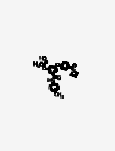 Cc1cnc(NC(=O)c2cc(Oc3ccc(C(=O)N4CCC4)cc3)cc(O[C@@H](C)CO)c2)cn1